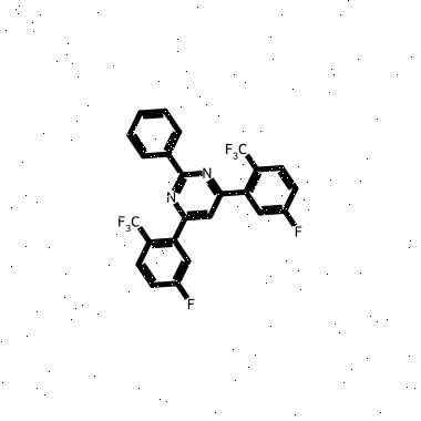 Fc1ccc(C(F)(F)F)c(-c2cc(-c3cc(F)ccc3C(F)(F)F)nc(-c3ccccc3)n2)c1